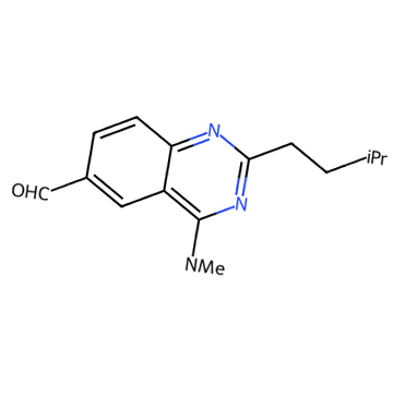 CNc1nc(CCC(C)C)nc2ccc(C=O)cc12